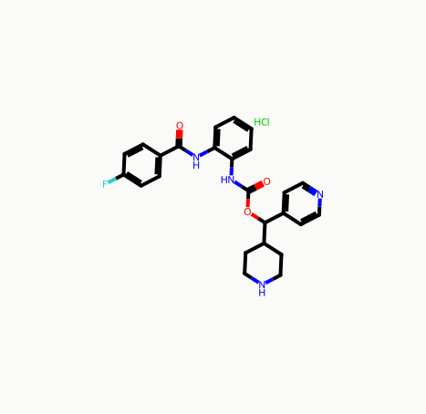 Cl.O=C(Nc1ccccc1NC(=O)c1ccc(F)cc1)OC(c1ccncc1)C1CCNCC1